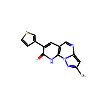 CC(C)(C)c1cc2ncc3cc(-c4ccsc4)c(=O)[nH]c3n2n1